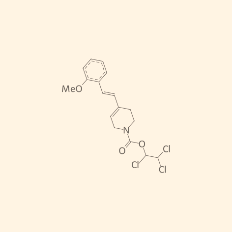 COc1ccccc1C=CC1=CCN(C(=O)OC(Cl)C(Cl)Cl)CC1